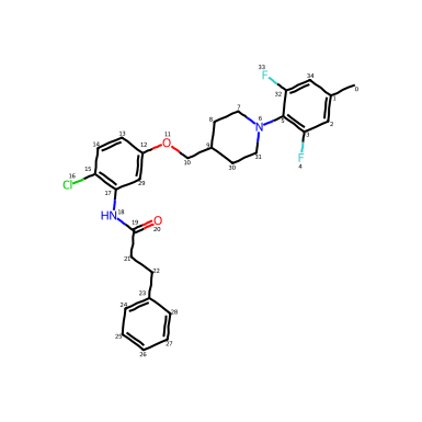 Cc1cc(F)c(N2CCC(COc3ccc(Cl)c(NC(=O)CCc4ccccc4)c3)CC2)c(F)c1